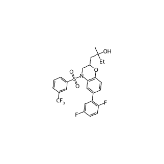 CCC(C)(O)CC1CN(S(=O)(=O)c2cccc(C(F)(F)F)c2)c2cc(-c3cc(F)ccc3F)ccc2O1